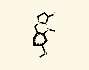 COc1ccc(CN2CCC(F)S2)c(OC)c1